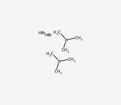 Br.Br.CN(C)C.CN(C)C